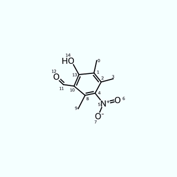 Cc1c(C)c([N+](=O)[O-])c(C)c(C=O)c1O